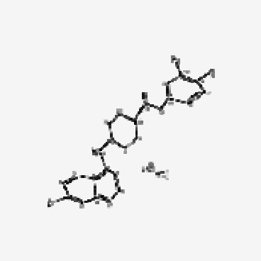 Cl.Cl.Clc1ccc2c(NC3CCC(NCc4ccc(Cl)c(Cl)c4)CC3)ccnc2c1